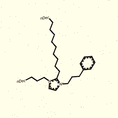 CCCCCCCCCCCCCCCCCCCc1n(CCCCCCCCCCCCC)cc[n+]1CCCc1ccccc1